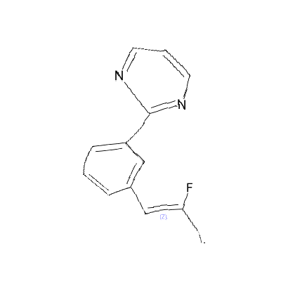 [CH2]/C(F)=C/c1cccc(-c2ncccn2)c1